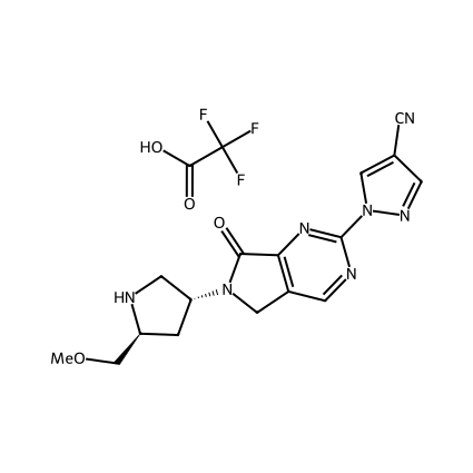 COC[C@@H]1C[C@@H](N2Cc3cnc(-n4cc(C#N)cn4)nc3C2=O)CN1.O=C(O)C(F)(F)F